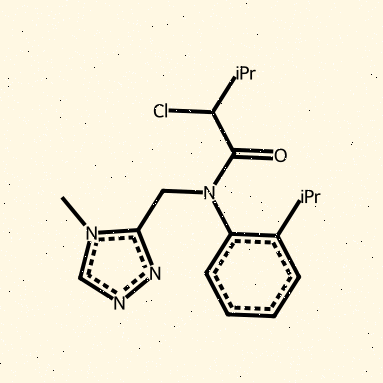 CC(C)c1ccccc1N(Cc1nncn1C)C(=O)C(Cl)C(C)C